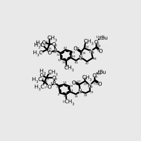 Cc1cc(B2OC(C)(C)C(C)(C)O2)ccc1CN1CCN(C(=O)OC(C)(C)C)C(C)C1=O.Cc1cc(B2OC(C)(C)C(C)(C)O2)ccc1CN1CCN(C(=O)OC(C)(C)C)C(C)C1=O